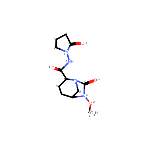 O=C(NN1CCCC1=O)C1CCC2CN1C(=O)N2OS(=O)(=O)O